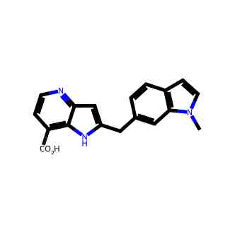 Cn1ccc2ccc(Cc3cc4nccc(C(=O)O)c4[nH]3)cc21